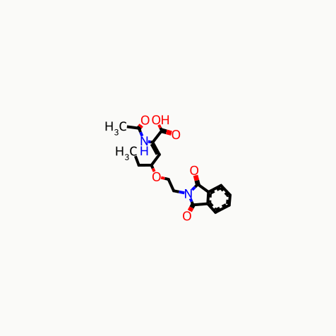 CCC(C=C(NC(C)=O)C(=O)O)OCCN1C(=O)c2ccccc2C1=O